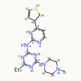 CCc1nc(Nc2nccc(C3C=CSC3)n2)nc(N2CCN(C)CC2)n1